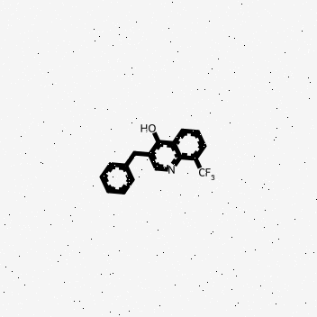 Oc1c(Cc2ccccc2)cnc2c(C(F)(F)F)cccc12